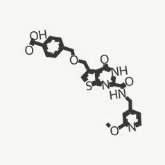 COc1cc(CNC(=O)c2nc3scc(COCc4ccc(C(=O)O)cc4)c3c(=O)[nH]2)ccn1